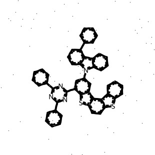 c1ccc(-c2nc(-c3ccccc3)nc(-c3cc(-n4c5ccccc5c5c(-c6ccccc6)cccc54)cc4c3sc3ccc5sc6ccccc6c5c34)n2)cc1